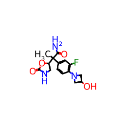 CC(C(N)=O)(c1ccc(N2CC(O)C2)c(F)c1)C1CNC(=O)O1